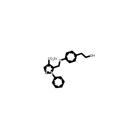 CCOC(=O)c1cnn(-c2ccccc2)c1COc1ccc(CCO)cc1